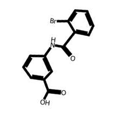 O=C(O)c1cccc(NC(=O)c2ccccc2Br)c1